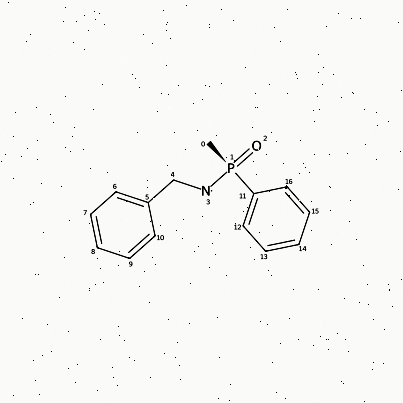 C[P@](=O)([N]Cc1ccccc1)c1ccccc1